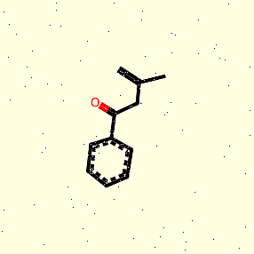 C=C(C)[CH]C(=O)c1ccccc1